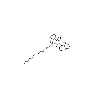 CCCCCCCCCCCCCCOC(=O)C(C(=O)c1ccccc1)C(C)CC(=O)C1C(C)=CCCC1(C)C